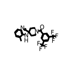 Cc1ccccc1NC1(C#N)CCN(C(=O)c2cc(C(F)(F)F)cc(C(F)(F)F)c2)CC1